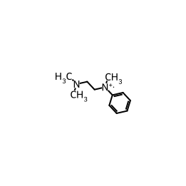 CN(C)CC[N+](C)c1ccccc1